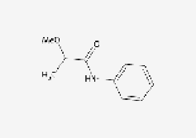 COC(C)C(=O)Nc1ccccc1